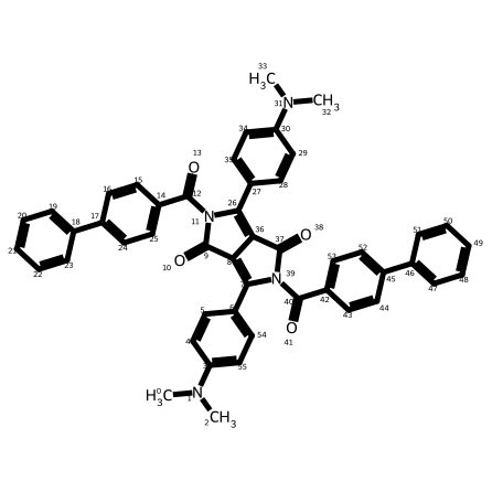 CN(C)c1ccc(C2=C3C(=O)N(C(=O)c4ccc(-c5ccccc5)cc4)C(c4ccc(N(C)C)cc4)=C3C(=O)N2C(=O)c2ccc(-c3ccccc3)cc2)cc1